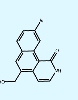 O=c1[nH]ccc2c(CO)cc3ccc(Br)cc3c12